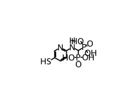 O=P(O)(O)C(Nc1ccc(S)cn1)P(=O)(O)O